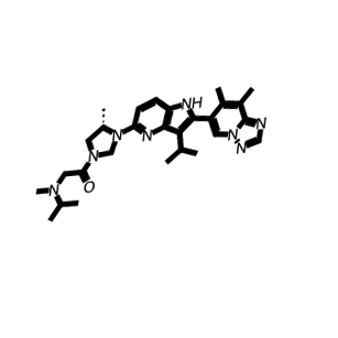 Cc1c(-c2[nH]c3ccc(N4CN(C(=O)CN(C)C(C)C)C[C@@H]4C)nc3c2C(C)C)cn2ncnc2c1C